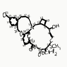 C=C1[C@@H](C)C/C=C/C(O)C2CCC2CN2CCCCc3cc(Cl)ccc3COc3ccc(cc32)C(=O)NS1(=O)=O